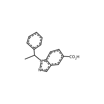 CC(c1ccccc1)n1ncc2cc(C(=O)O)ccc21